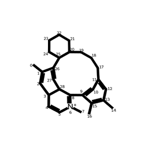 CC1=CC2C=C[N+](C)=C3c4cc(cc(C)c4C)CCCC4CCCCC4C1=CC32